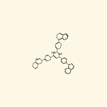 c1ccc2c(c#1)=CCCC=2C1=CC=C(C2NC(C3C=CC([C@@H]4C=NC5=C(C=CCC5)C4)=CC3)=CC(c3ccc(-c4cccc5ccccc45)cc3)N2)CC1